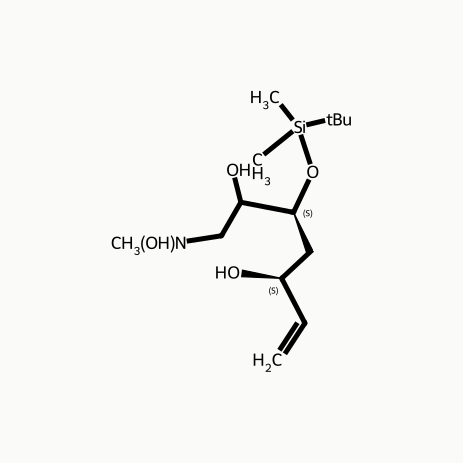 C=C[C@@H](O)C[C@H](O[Si](C)(C)C(C)(C)C)C(O)CN(C)O